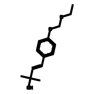 CCOCOc1ccc(C=CC(C)(C)O)cc1